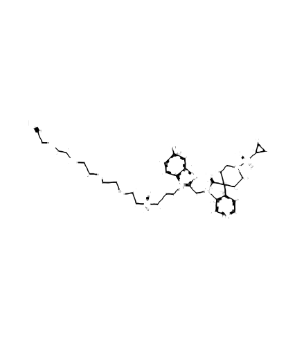 C#CCOCCOCCOCCOCCS(=O)(=O)CCCn1c(CN2C(=O)C3(CCN(S(=O)(=O)C4CC4)CC3)c3ccncc32)nc2cc(Cl)ccc21